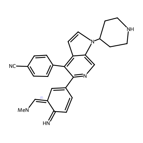 CN/C=C1/C=C(c2ncc3c(ccn3C3CCNCC3)c2-c2ccc(C#N)cc2)C=CC1=N